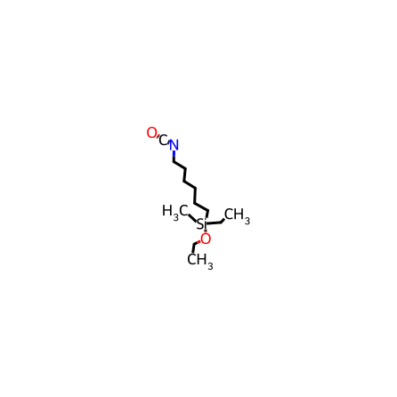 CCO[Si](CC)(CC)CCCCCCN=C=O